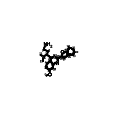 COc1ccc2c(C(CCN)N(C)C)nc(-c3cc4ccccc4o3)nc2c1